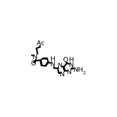 CC(=O)CCCN(C)C(=O)c1ccc(NCc2cnc3nc(N)[nH]c(=O)c3n2)cc1